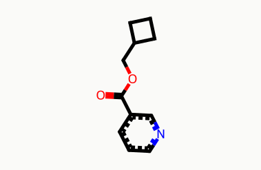 O=C(OCC1CCC1)c1cccnc1